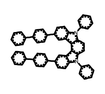 c1ccc(-c2ccc(-c3ccc4c(c3)c3c5c6cc(-c7ccc(-c8ccccc8)cc7)ccc6n(-c6ccccc6)c5ccc3n4-c3ccccc3)cc2)cc1